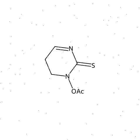 CC(=O)ON1CCC=NC1=S